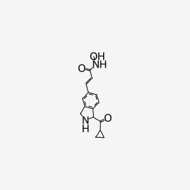 O=C(C=Cc1ccc2c(c1)CNC2C(=O)C1CC1)NO